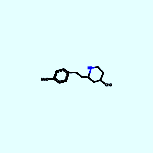 COc1ccc(CCC2CC(C=O)CCN2)cc1